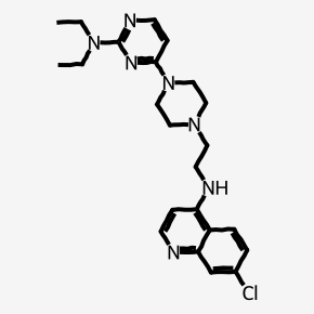 CCN(CC)c1nccc(N2CCN(CCNc3ccnc4cc(Cl)ccc34)CC2)n1